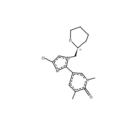 Cc1cc(-c2nc(Cl)cn2C[C@@H]2CCCCO2)cn(C)c1=O